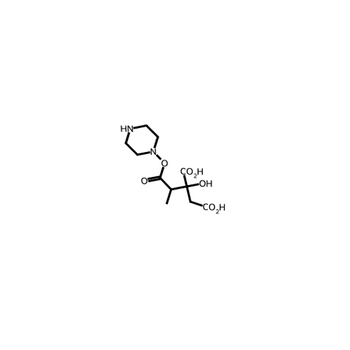 CC(C(=O)ON1CCNCC1)C(O)(CC(=O)O)C(=O)O